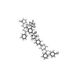 CN1CCC[C@H]1C[C@H](CSc1ccccc1)Nc1ccc(S(=O)(=O)NC(=O)c2ccc(N3CCC(Cc4ccccc4-c4ccc(Cl)cc4)CC3)cc2)cc1S(=O)(=O)C(F)(F)F